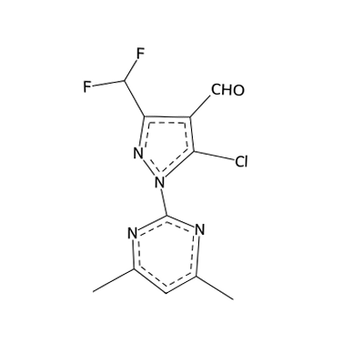 Cc1cc(C)nc(-n2nc(C(F)F)c(C=O)c2Cl)n1